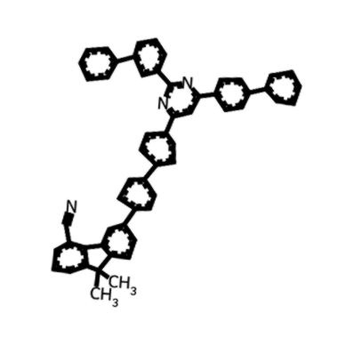 CC1(C)c2ccc(-c3ccc(-c4ccc(-c5cc(-c6ccc(-c7ccccc7)cc6)nc(-c6cccc(-c7ccccc7)c6)n5)cc4)cc3)cc2-c2c(C#N)cccc21